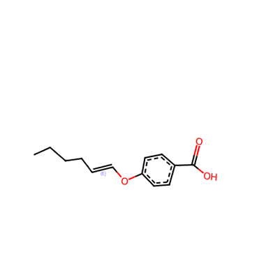 CCCC/C=C/Oc1ccc(C(=O)O)cc1